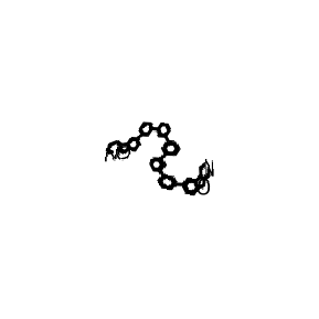 c1cc(-c2cccc(-c3cccc(-c4ccc5oc6cnccc6c5c4)c3)c2)cc(-c2cccc(-c3cccc(-c4ccc5oc6ncccc6c5c4)c3)c2)c1